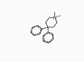 C[N+]1(C)CCC(c2ccccc2)(c2ccccc2)CC1